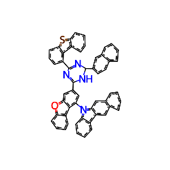 c1ccc2cc(C3N=C(c4cccc5sc6ccccc6c45)N=C(c4cc(-n5c6ccccc6c6cc7ccccc7cc65)c5c(c4)oc4ccccc45)N3)ccc2c1